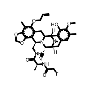 C=CCOc1c(C)c2c(c3c1CC1[C@@H]4c5c(cc(C)c(OC)c5O)C[C@@H]([C@H](C#N)N1[C@H]3CNC(=O)[C@H](C)NC(=O)CF)N4C)OCO2